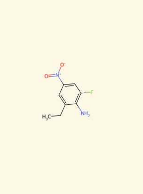 CCc1cc([N+](=O)[O-])cc(F)c1N